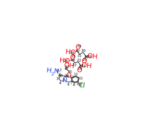 NC[C@H]1CCN(Cc2cc(Cl)ccc2OCCO)C1.O=C(O)CCC(=O)O.O=C(O)CCC(=O)O